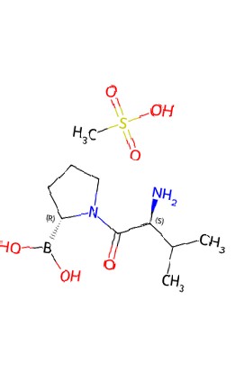 CC(C)[C@H](N)C(=O)N1CCC[C@H]1B(O)O.CS(=O)(=O)O